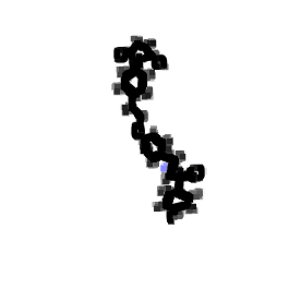 O=C(/C=C/c1ccc(OCCc2ccc(N3C(=O)C=CC3=O)cc2)cc1)c1ccc(F)cc1